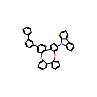 c1ccc(-c2cccc(-c3ccc4c(c3)Oc3ccccc3-c3ccccc3Oc3cc(-n5c6ccccc6c6ccccc65)ccc3-4)c2)cc1